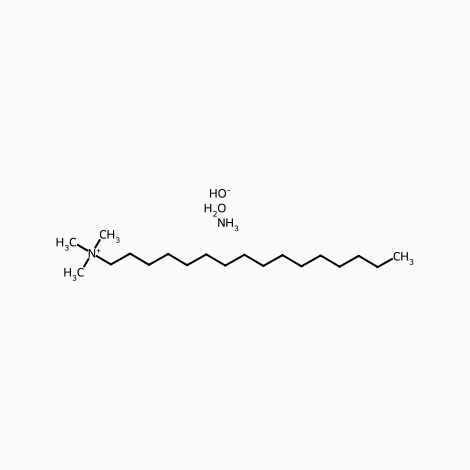 CCCCCCCCCCCCCCCC[N+](C)(C)C.N.O.[OH-]